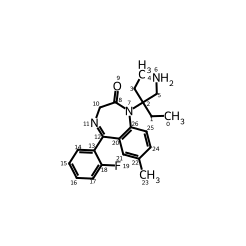 CCC(CC)(CN)N1C(=O)CN=C(c2ccccc2F)c2cc(C)ccc21